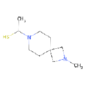 CC(S)N1CCC2(CC1)CN(C)C2